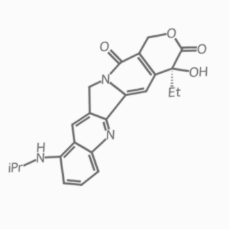 CC[C@@]1(O)C(=O)OCc2c1cc1n(c2=O)Cc2cc3c(NC(C)C)cccc3nc2-1